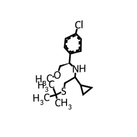 COC[C@H](NC(CSC(C)(C)C)C1CC1)c1ccc(Cl)cc1